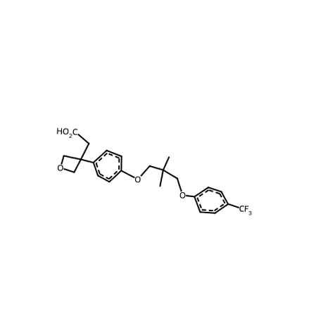 CC(C)(COc1ccc(C(F)(F)F)cc1)COc1ccc(C2(CC(=O)O)COC2)cc1